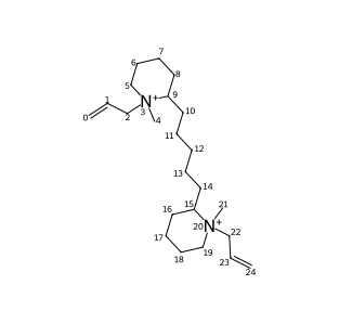 C=CC[N+]1(C)CCCCC1CCCCCC1CCCC[N+]1(C)CC=C